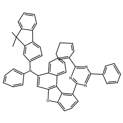 CC1(C)c2ccccc2-c2ccc(N(c3ccccc3)c3cc4oc5cccc(-c6nc(C7=CCCC=C7)nc(-c7ccccc7)n6)c5c4c4ccccc34)cc21